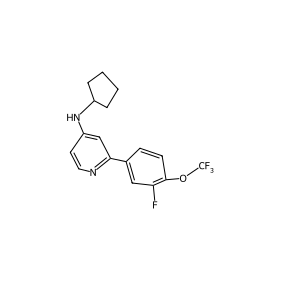 Fc1cc(-c2cc(NC3CCCC3)ccn2)ccc1OC(F)(F)F